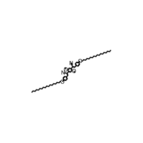 CCCCCCCCCCCCCCCCCCOc1ccc(C=C(C#N)c2cc(OC)c(C(C#N)=Cc3ccc(OCCCCCCCCCCCCCCCCCC)cc3)cc2OC)cc1